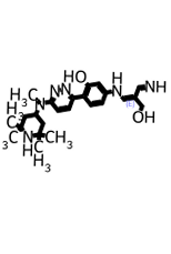 CN(c1ccc(-c2ccc(N/C=C(\C=N)CO)cc2O)nn1)C1CC(C)(C)NC(C)(C)C1